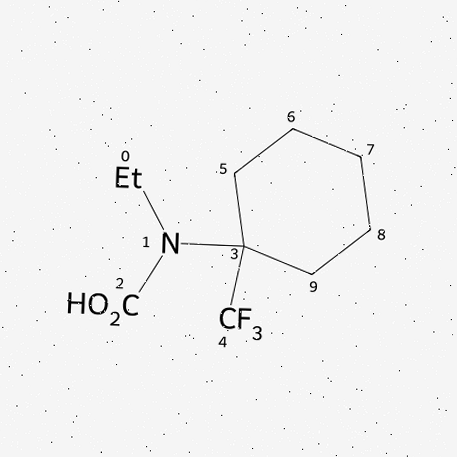 CCN(C(=O)O)C1(C(F)(F)F)CCCCC1